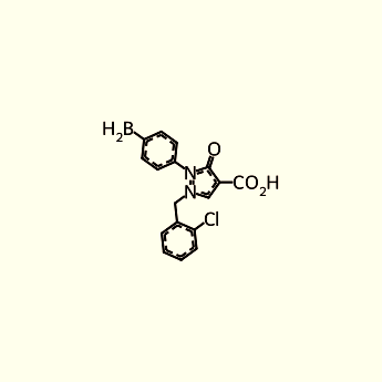 Bc1ccc(-n2c(=O)c(C(=O)O)cn2Cc2ccccc2Cl)cc1